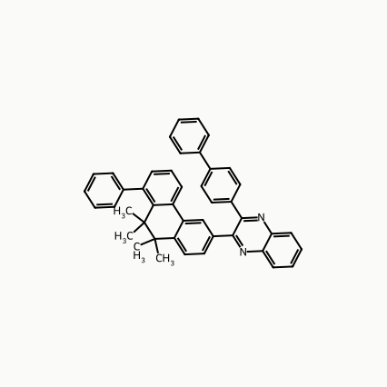 CC1(C)c2ccc(-c3nc4ccccc4nc3-c3ccc(-c4ccccc4)cc3)cc2-c2cccc(-c3ccccc3)c2C1(C)C